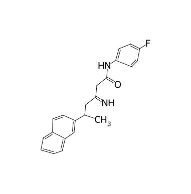 CC(CC(=N)CC(=O)Nc1ccc(F)cc1)c1ccc2ccccc2c1